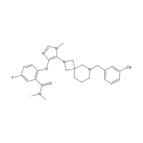 CN(C)C(=O)c1cc(F)ccc1Oc1ncn(C)c1N1CC2(CCCN(Cc3cccc(C#N)c3)C2)C1